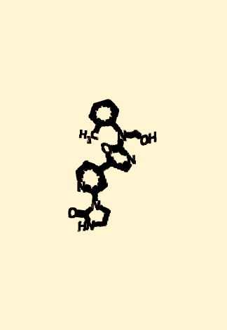 Cc1ccccc1N(CO)c1ncc(-c2ccnc(N3CCNC3=O)c2)o1